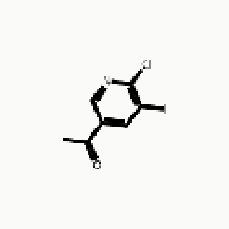 CC(=O)c1cnc(Cl)c(I)c1